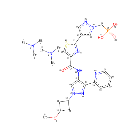 CCN(CC)CC.CCN(CC)CC.CCOC1CC(n2cc(NC(=O)c3csc(-c4cnn(CP(=O)(O)O)c4)n3)c(-c3ccccn3)n2)C1